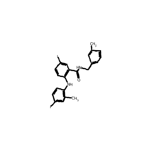 Cc1cccc(CNC(=O)c2cc(I)ccc2Nc2ccc(I)cc2C)c1